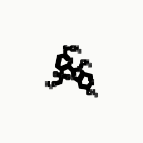 CCS(=O)(=O)c1ccc(SC)nc1-c1nc2cc(C)ncc2n1C